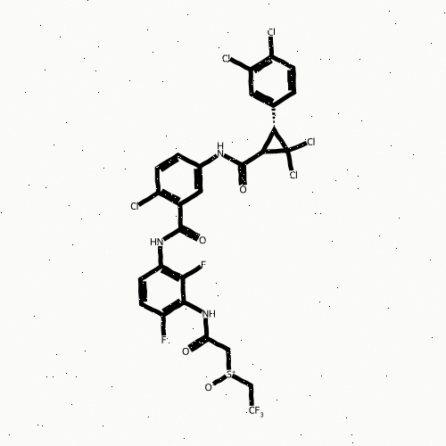 O=C(C[S+]([O-])CC(F)(F)F)Nc1c(F)ccc(NC(=O)c2cc(NC(=O)C3[C@H](c4ccc(Cl)c(Cl)c4)C3(Cl)Cl)ccc2Cl)c1F